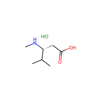 CN[C@H](CC(=O)O)C(C)C.Cl